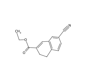 CCOC(=O)C1=Cc2cc(C#N)ccc2CC1